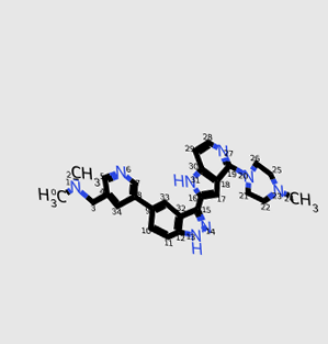 CN(C)Cc1cncc(-c2ccc3[nH]nc(-c4cc5c(N6CCN(C)CC6)nccc5[nH]4)c3c2)c1